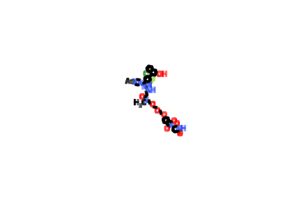 CC(=O)N1CCN(c2nc(NCCC(=O)N(C)CCOCCOCCOc3ccc4c(c3)C(=O)N(C3CCC(=O)NC3=O)C4=O)nc3c(F)c(-c4cc(O)cc5ccccc45)c(Cl)cc23)CC1